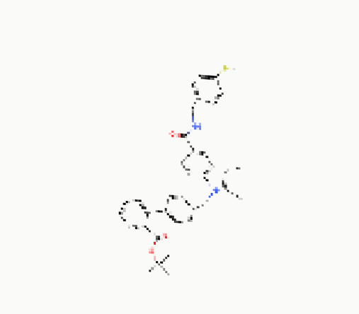 CSc1ccc(CNC(=O)c2ccc3c(c2)c(C)c(C)n3Cc2ccc(-c3ccccc3C(=O)OC(C)(C)C)cc2)cc1